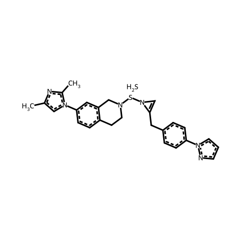 Cc1cn(-c2ccc3c(c2)CN(SN2C=C2Cc2ccc(-n4cccn4)cc2)CC3)c(C)n1.S